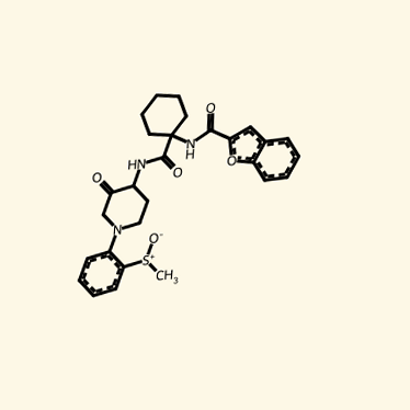 C[S+]([O-])c1ccccc1N1CCC(NC(=O)C2(NC(=O)c3cc4ccccc4o3)CCCCC2)C(=O)C1